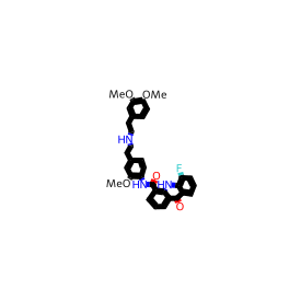 COc1cc(CCNCCc2ccc(OC)c(OC)c2)ccc1NC(=O)c1cccc2c(=O)c3cccc(F)c3[nH]c12